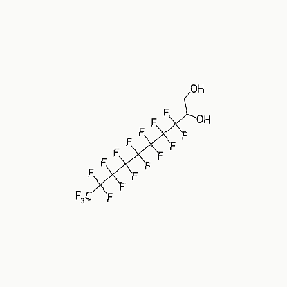 OCC(O)C(F)(F)C(F)(F)C(F)(F)C(F)(F)C(F)(F)C(F)(F)C(F)(F)C(F)(F)F